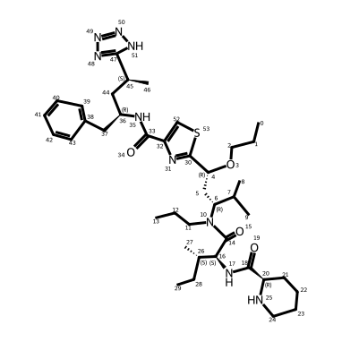 CCCO[C@H](C[C@H](C(C)C)N(CCC)C(=O)[C@@H](NC(=O)[C@H]1CCCCN1)[C@@H](C)CC)c1nc(C(=O)N[C@@H](Cc2ccccc2)C[C@H](C)c2nnn[nH]2)cs1